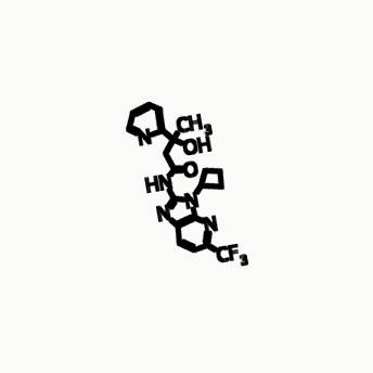 CC(O)(CC(=O)Nc1nc2ccc(C(F)(F)F)nc2n1C1CCC1)c1ccccn1